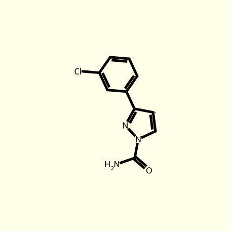 NC(=O)n1c[c]c(-c2cccc(Cl)c2)n1